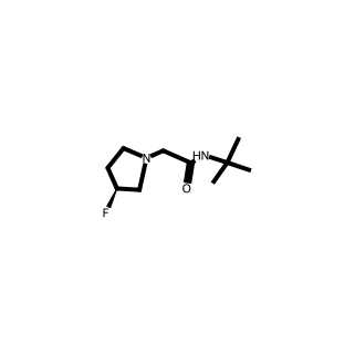 CC(C)(C)NC(=O)CN1CC[C@H](F)C1